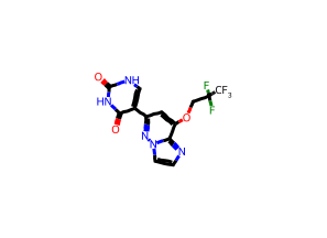 O=c1[nH]cc(-c2cc(OCC(F)(F)C(F)(F)F)c3nccn3n2)c(=O)[nH]1